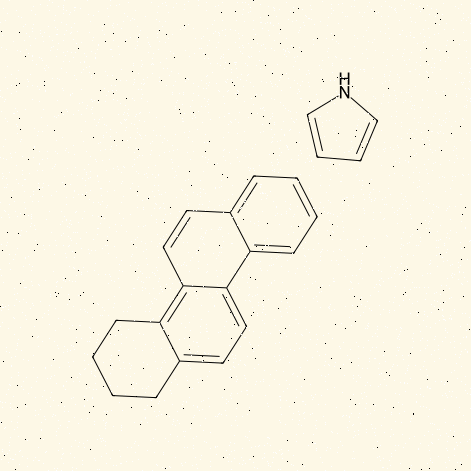 c1cc[nH]c1.c1ccc2c(c1)ccc1c3c(ccc12)CCCC3